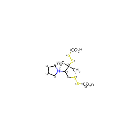 CC(C)(SSC(=O)O)C(CSSC(=O)O)N1CCCC1